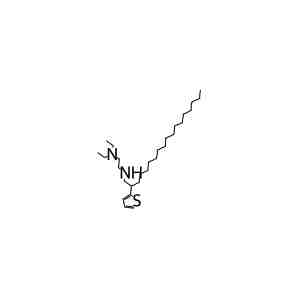 CCCCCCCCCCCCCCCCC(CNCCN(CC)CC)c1cccs1